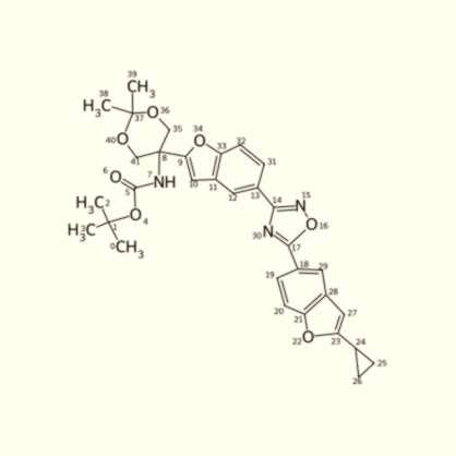 CC(C)(C)OC(=O)NC1(c2cc3cc(-c4noc(-c5ccc6oc(C7CC7)cc6c5)n4)ccc3o2)COC(C)(C)OC1